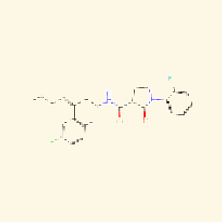 CCC/C=C(/CCNC(=O)C1CCN(c2ccccc2F)C1=O)c1cc(Cl)ccc1C